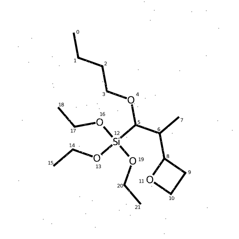 CCCCOC(C(C)C1CCO1)[Si](OCC)(OCC)OCC